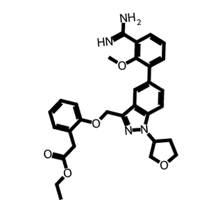 CCOC(=O)Cc1ccccc1OCc1nn(C2CCOC2)c2ccc(-c3cccc(C(=N)N)c3OC)cc12